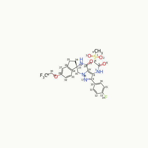 CS(=O)(=O)CC(=O)Nc1c(-c2ccc(F)cc2)nn2c1C(=O)N[C@]1(CCc3cc(OCC(F)(F)F)ccc31)C2